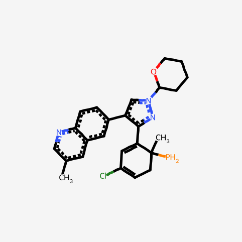 Cc1cnc2ccc(-c3cn(C4CCCCO4)nc3C3=CC(Cl)=CCC3(C)P)cc2c1